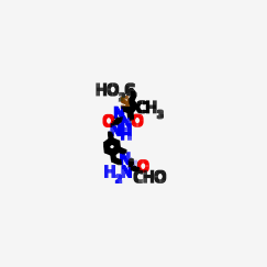 Cc1c(CC(=O)O)sc2nc(C(=O)NCc3ccc4c(c3)CN(/C=C(\N)C(=O)C=O)CC4)[nH]c(=O)c12